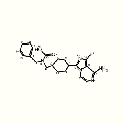 Nc1nccn2c(C3CCC(CN(Cc4ccccc4)C(=O)O)CC3)nc(I)c12